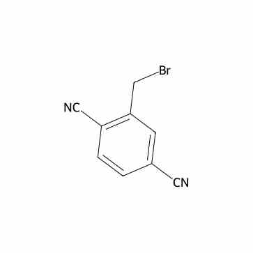 N#Cc1ccc(C#N)c(CBr)c1